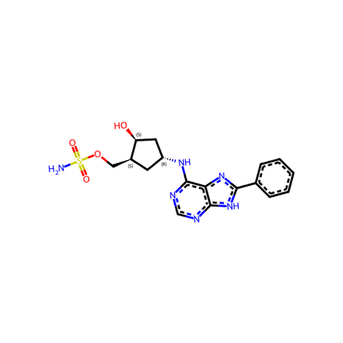 NS(=O)(=O)OC[C@@H]1C[C@@H](Nc2ncnc3[nH]c(-c4ccccc4)nc23)C[C@@H]1O